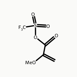 C=C(OC)C(=O)OS(=O)(=O)C(F)(F)F